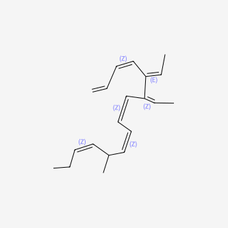 C=C\C=C/C(=C\C)C(/C=C\C=C/C(C)/C=C\CC)=C\C